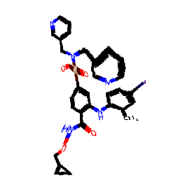 Cc1cc(I)ccc1Nc1cc(S(=O)(=O)N(Cc2cccnc2)Cc2cccnc2)ccc1C(=O)NOCC1CC1